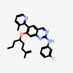 C=C(C)CCC(CCC)Oc1cc2nc(Nc3cccc(F)c3)ncc2cc1-c1ncccc1C